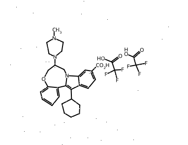 CN1CCN(C2COc3ccccc3-c3c(C4CCCCC4)c4ccc(C(=O)O)cc4n3C2)CC1.O=C(O)C(F)(F)F.O=C(O)C(F)(F)F